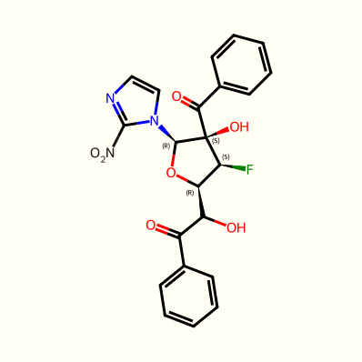 O=C(c1ccccc1)C(O)[C@H]1O[C@@H](n2ccnc2[N+](=O)[O-])[C@](O)(C(=O)c2ccccc2)[C@H]1F